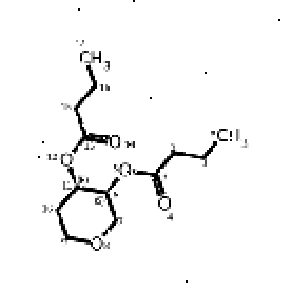 CCCC(=O)O[C@H]1COCC[C@H]1OC(=O)CCC